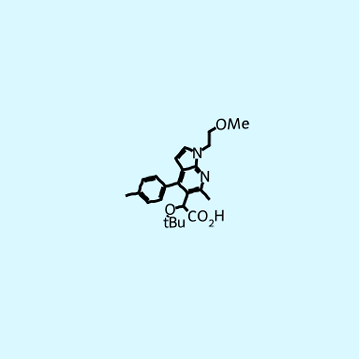 COCCn1ccc2c(-c3ccc(C)cc3)c(C(OC(C)(C)C)C(=O)O)c(C)nc21